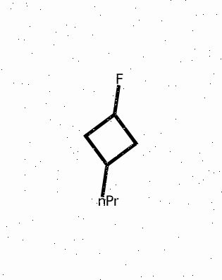 CCCC1CC(F)C1